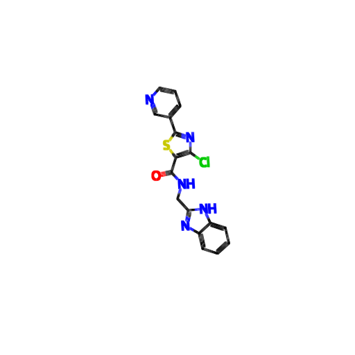 O=C(NCc1nc2ccccc2[nH]1)c1sc(-c2cccnc2)nc1Cl